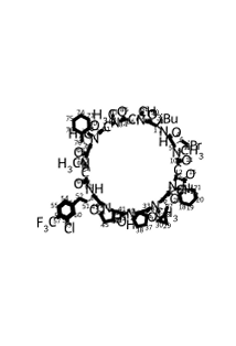 CC[C@H](C)[C@@H]1NC(=O)[C@H](CC(C)C)N(C)C(=O)C[C@@H](C(=O)N2CCCCC2)N(C)C(=O)[C@H](CC2CC2)N(C)C(=O)C2(CCCC2)NC(=O)[C@@H]2CCCN2C(=O)[C@H](CCc2ccc(C(F)(F)F)c(Cl)c2)NC(=O)CN(C)C(=O)[C@H](CC2CCCCC2)N(C)C(=O)CN(C)C(=O)CN(C)C1=O